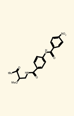 COC(CNC(=O)c1ccc(NC(=O)c2ccc([N+](=O)[O-])cc2)cc1)C(=O)C(C)(C)C